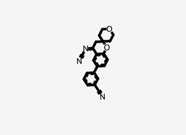 N#C/N=C1/CC2(CCOCC2)Oc2ccc(-c3cccc(C#N)c3)cc21